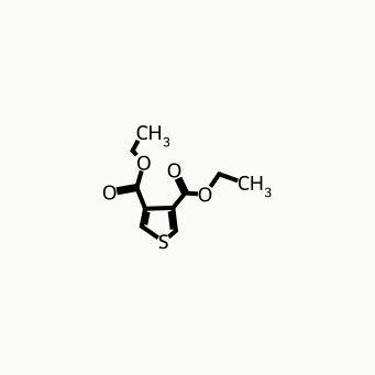 CCOC(=O)c1cscc1C(=O)OCC